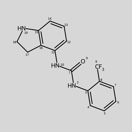 O=C(Nc1ccccc1C(F)(F)F)Nc1cccc2c1CCN2